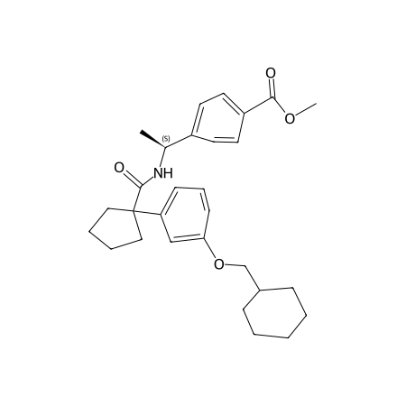 COC(=O)c1ccc([C@H](C)NC(=O)C2(c3cccc(OCC4CCCCC4)c3)CCCC2)cc1